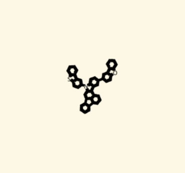 c1ccc2c(c1)-c1cccc3c1c-2cc1c3c2cc(-c3ccc4oc5ccccc5c4c3)ccc2n1-c1ccc2sc3ccccc3c2c1